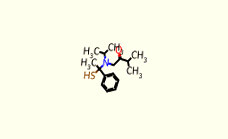 CC(C)C(=O)CN(C(C)C)C(C)(S)c1ccccc1